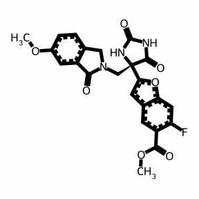 COC(=O)c1cc2cc([C@]3(CN4Cc5ccc(OC)cc5C4=O)NC(=O)NC3=O)oc2cc1F